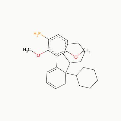 COc1ccc(P)c(OC)c1C1=CC=CCC1(C1CCCCC1)C1CCCCC1